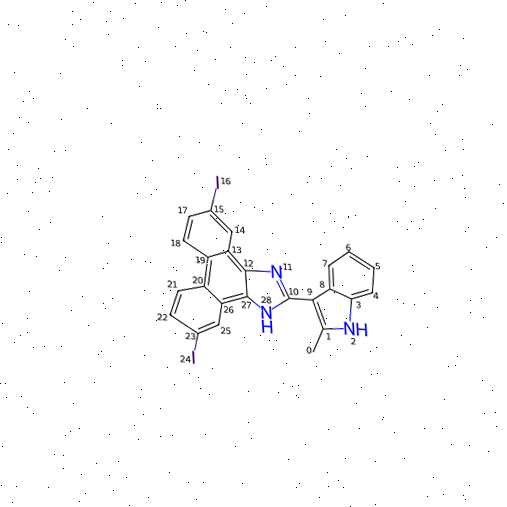 Cc1[nH]c2ccccc2c1-c1nc2c3cc(I)ccc3c3ccc(I)cc3c2[nH]1